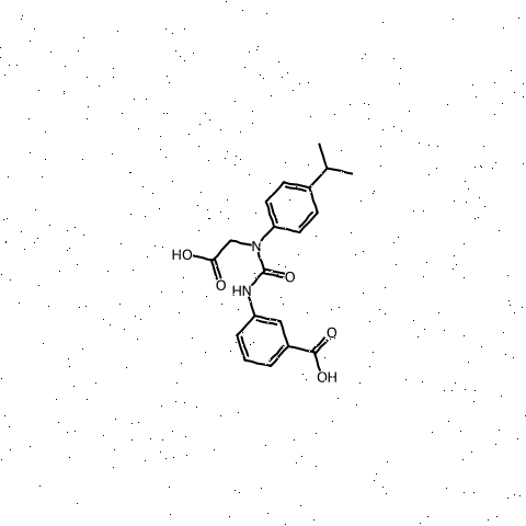 CC(C)c1ccc(N(CC(=O)O)C(=O)Nc2cccc(C(=O)O)c2)cc1